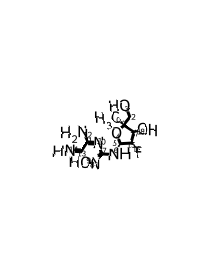 C[C@]1(CO)O[C@@H](NC(=N/O)/N=C(/N)C=N)[C@@H](F)[C@@H]1O